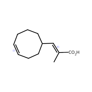 C/C(=C\C1CC/C=C\CCC1)C(=O)O